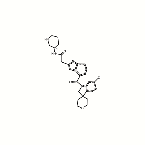 O=C(Cc1cn2c(C(=O)NCC3(c4ccc(Cl)cc4)CCOCC3)cccc2n1)N[C@@H]1CCCNC1